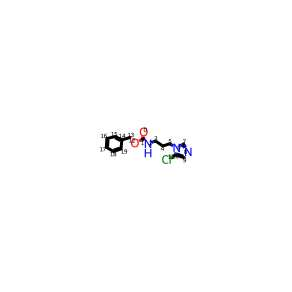 O=C(NCCCn1cncc1Cl)OCc1ccccc1